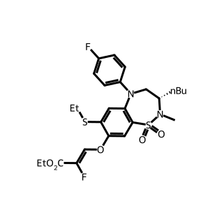 CCCC[C@H]1CN(c2ccc(F)cc2)c2cc(SCC)c(O/C=C(\F)C(=O)OCC)cc2S(=O)(=O)N1C